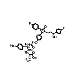 CC[C@H](NC(=O)[C@H](NC(=O)COc1ccc(C2C(CCC(O)c3ccc(F)cc3)C(=O)N2c2ccc(F)cc2)cc1)c1ccc(O)cc1)C(=O)O